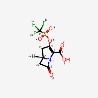 O=C(O)C1=C(OS(=O)(=O)C(F)(F)F)C[C@H]2CC(=O)N12